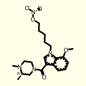 COc1cccc2c(C(=O)N3CCN(C)[C@H](C)C3)cn(CCCCCO[N+](=O)[O-])c12